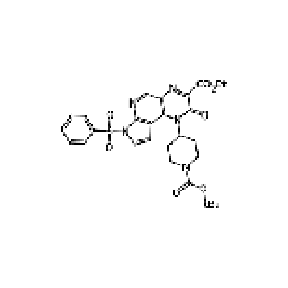 CCOC(=O)c1nc2cnc3c(ccn3S(=O)(=O)c3ccccc3)c2n(C2CCN(C(=O)OC(C)(C)C)CC2)c1=O